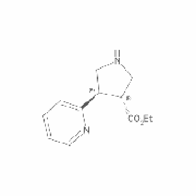 CCOC(=O)[C@H]1CNC[C@@H]1c1ccccn1